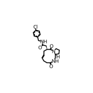 O=C1CC/C=C/C[C@@H](CC(=O)NCc2ccc(Cl)cc2)C(=O)N2CCC[C@H]2CN1